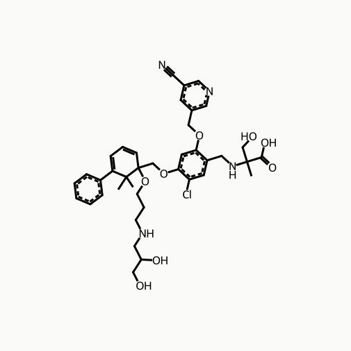 CC(CO)(NCc1cc(Cl)c(OCC2(OCCCNCC(O)CO)C=CC=C(c3ccccc3)C2(C)C)cc1OCc1cncc(C#N)c1)C(=O)O